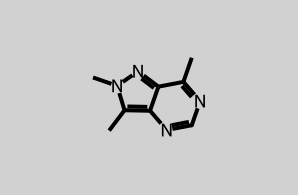 Cc1ncnc2c(C)n(C)nc12